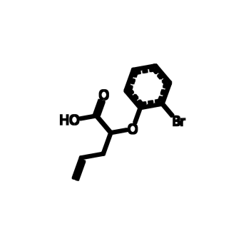 C=CCC(Oc1ccccc1Br)C(=O)O